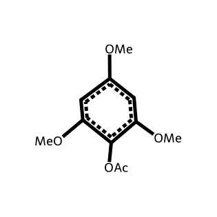 COc1cc(OC)c(OC(C)=O)c(OC)c1